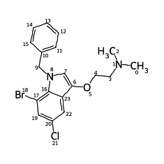 CN(C)CCOc1cn(Cc2ccccc2)c2c(Br)cc(Cl)cc12